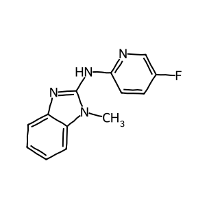 Cn1c(Nc2ccc(F)cn2)nc2ccccc21